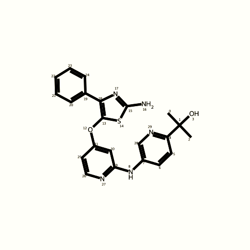 CC(C)(O)c1ccc(Nc2cc(Oc3sc(N)nc3-c3ccccc3)ccn2)cn1